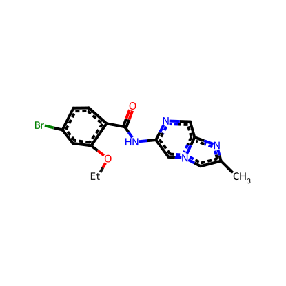 CCOc1cc(Br)ccc1C(=O)Nc1cn2cc(C)nc2cn1